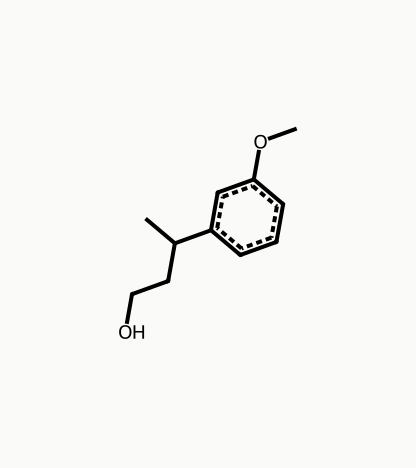 COc1cccc(C(C)CCO)c1